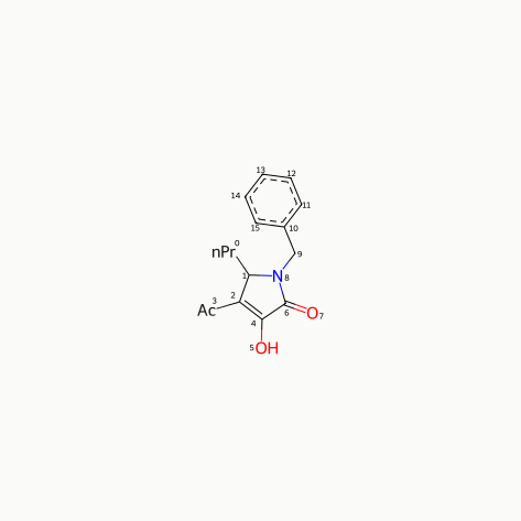 CCCC1C(C(C)=O)=C(O)C(=O)N1Cc1ccccc1